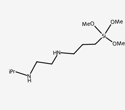 CO[Si](CCCNCCNC(C)C)(OC)OC